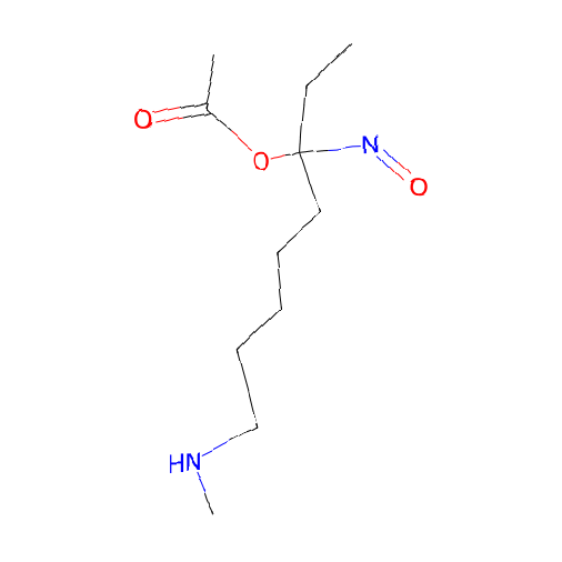 CCC(CCCCCNC)(N=O)OC(C)=O